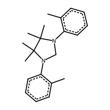 Cc1ccccc1N1CN(c2ccccc2C)C(C)(C)C1(C)C